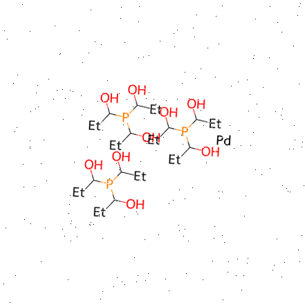 CCC(O)P(C(O)CC)C(O)CC.CCC(O)P(C(O)CC)C(O)CC.CCC(O)P(C(O)CC)C(O)CC.[Pd]